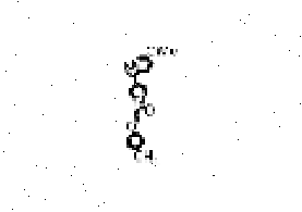 COc1ccc2c(C3CCN(C(=O)CCOc4ccc(C)cc4)CC3)cnn2c1